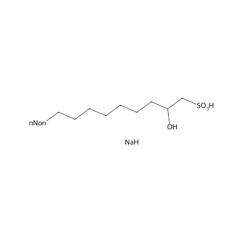 CCCCCCCCCCCCCCCCC(O)CS(=O)(=O)O.[NaH]